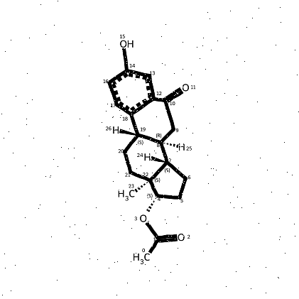 CC(=O)O[C@H]1CC[C@H]2[C@@H]3CC(=O)c4cc(O)ccc4[C@H]3CC[C@]12C